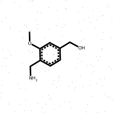 COc1cc(CO)ccc1CN